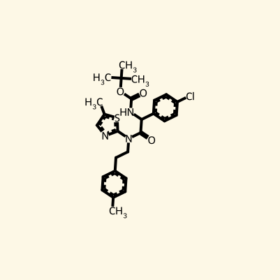 Cc1ccc(CCN(C(=O)C(NC(=O)OC(C)(C)C)c2ccc(Cl)cc2)c2ncc(C)s2)cc1